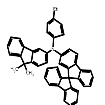 CCc1ccc(N(c2ccc3c(c2)-c2ccccc2C3(C)C)c2ccc3c(c2)C2(c4ccccc4-c4ccccc42)c2ccccc2-3)cc1